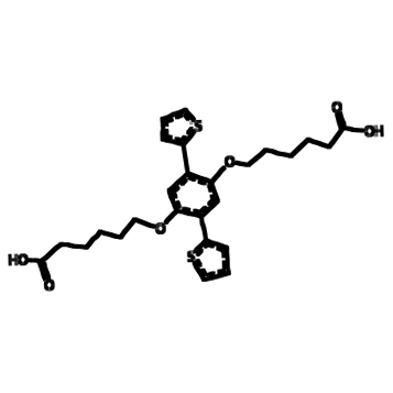 O=C(O)CCCCCOc1cc(-c2cccs2)c(OCCCCCC(=O)O)cc1-c1cccs1